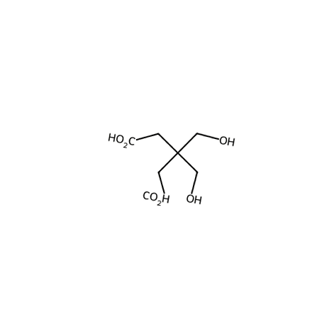 O=C(O)CC(CO)(CO)CC(=O)O